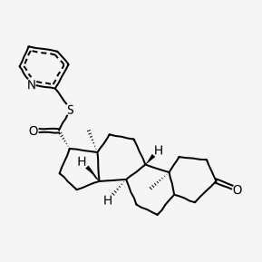 C[C@]12CC[C@H]3[C@@H](CCC4CC(=O)CC[C@@]43C)[C@@H]1CC[C@@H]2C(=O)Sc1ccccn1